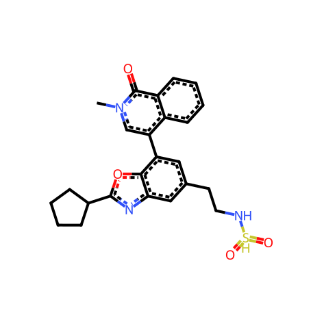 Cn1cc(-c2cc(CCN[SH](=O)=O)cc3nc(C4CCCC4)oc23)c2ccccc2c1=O